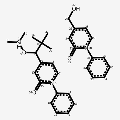 C[SiH](C)OC(c1ccn(-c2ccccc2)c(=O)c1)C(C)(C)C.O=c1cc(CO)ccn1-c1ccccc1